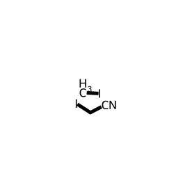 CI.N#CCI